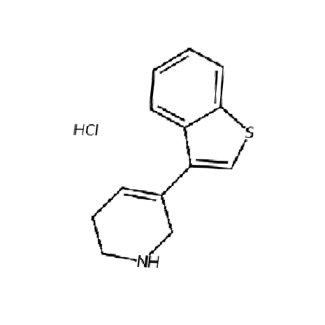 C1=C(c2csc3ccccc23)CNCC1.Cl